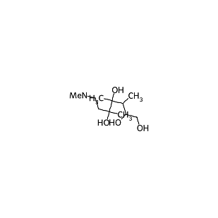 CNCCC(C)(O)C(C)(O)C(C)C(O)CO